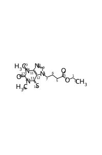 CCOC(=O)CCCn1cnc2c1c(=S)n(C)c(=O)n2C